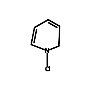 ClN1C=CC=CC1